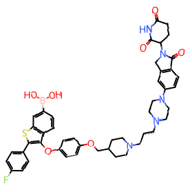 O=C1CCC(N2Cc3cc(N4CCN(CCCN5CCC(COc6ccc(Oc7c(-c8ccc(F)cc8)sc8cc(B(O)O)ccc78)cc6)CC5)CC4)ccc3C2=O)C(=O)N1